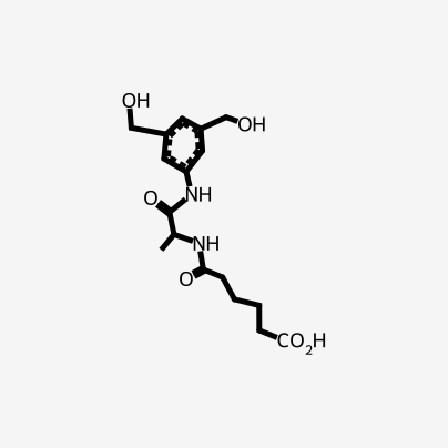 CC(NC(=O)CCCCC(=O)O)C(=O)Nc1cc(CO)cc(CO)c1